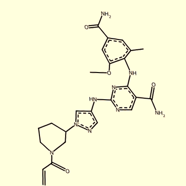 C=CC(=O)N1CCCC(n2cc(Nc3ncc(C(N)=O)c(Nc4c(C)cc(C(N)=O)cc4OC)n3)cn2)C1